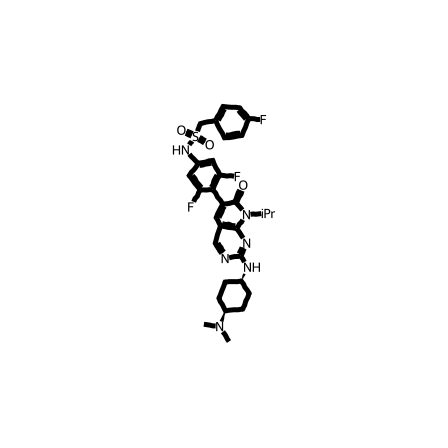 CC(C)n1c(=O)c(-c2c(F)cc(NS(=O)(=O)Cc3ccc(F)cc3)cc2F)cc2cnc(N[C@H]3CC[C@H](N(C)C)CC3)nc21